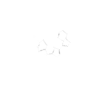 Brc1ccc(Nc2nc(-c3cnc4ccccn34)cs2)cn1